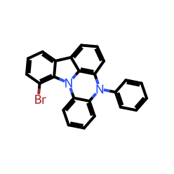 Brc1cccc2c3cccc4c3n(c12)-c1ccccc1N4c1ccccc1